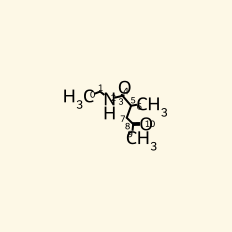 CCNC(=O)C(C)CC(C)=O